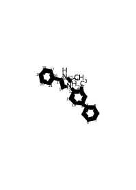 Cc1cc(-c2ccccc2)ccc1N1C=C(c2ccccc2)N[C@@H]1C